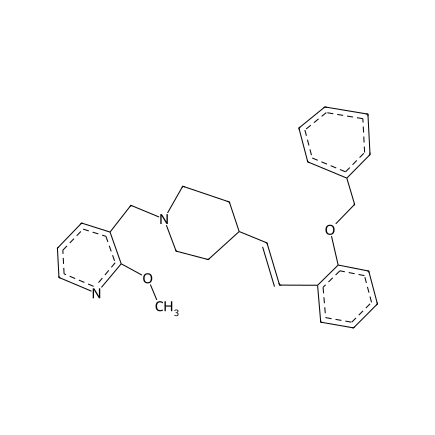 COc1ncccc1CN1CCC(C=Cc2ccccc2OCc2ccccc2)CC1